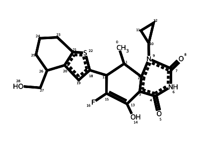 CC1c2c(c(=O)[nH]c(=O)n2C2CC2)C(O)=C(F)C1c1cc2c(s1)CCCC2CO